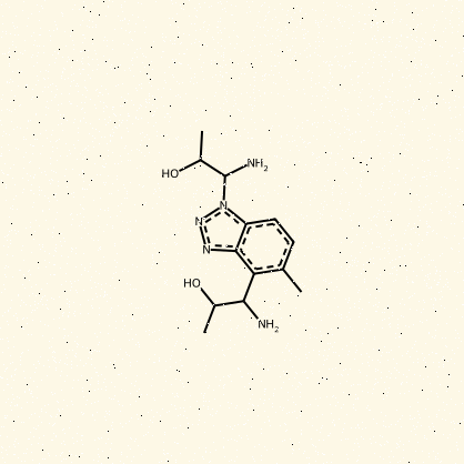 Cc1ccc2c(nnn2C(N)C(C)O)c1C(N)C(C)O